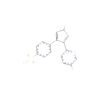 NS(=O)(=O)c1ccc(C2=CC(F)C=C2c2ccc(F)cn2)cc1